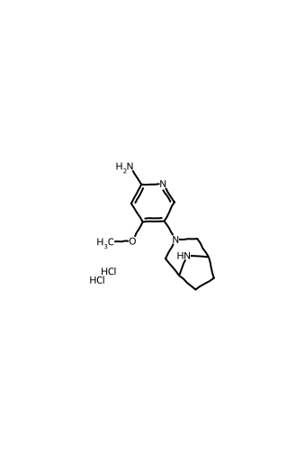 COc1cc(N)ncc1N1CC2CCC(C1)N2.Cl.Cl